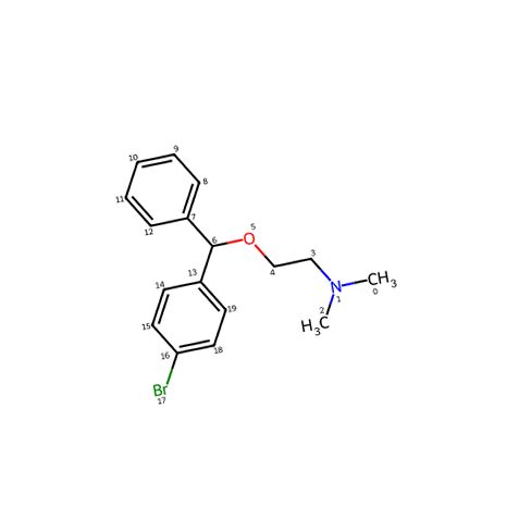 CN(C)CCOC(c1ccccc1)c1ccc(Br)cc1